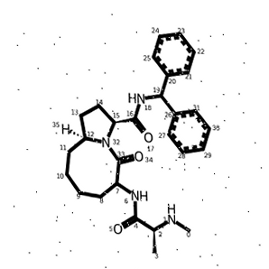 CN[C@@H](C)C(=O)NC1CCCC[C@H]2CC[C@@H](C(=O)NC(c3ccccc3)c3ccccc3)N2C1=O